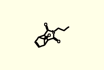 CCCN1C(=O)C2C3C=CC(C3=O)C2C1=O